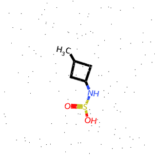 CC1CC(NS(=O)O)C1